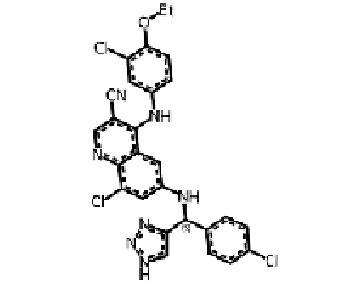 CCOc1ccc(Nc2c(C#N)cnc3c(Cl)cc(N[C@@H](c4ccc(Cl)cc4)c4c[nH]nn4)cc23)cc1Cl